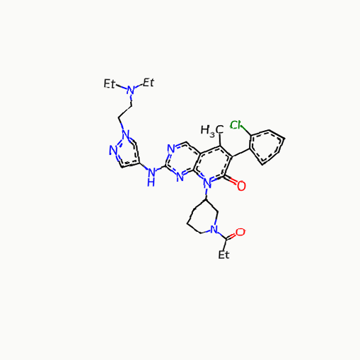 CCC(=O)N1CCCC(n2c(=O)c(-c3ccccc3Cl)c(C)c3cnc(Nc4cnn(CCN(CC)CC)c4)nc32)C1